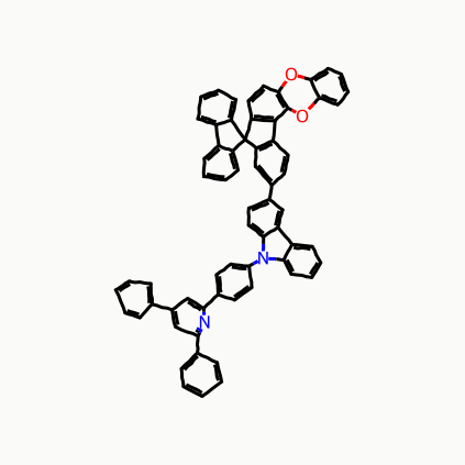 c1ccc(-c2cc(-c3ccccc3)nc(-c3ccc(-n4c5ccccc5c5cc(-c6ccc7c(c6)C6(c8ccccc8-c8ccccc86)c6ccc8c(c6-7)Oc6ccccc6O8)ccc54)cc3)c2)cc1